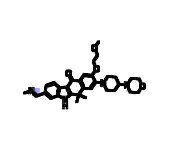 C/N=C/c1ccc2c3c([nH]c2c1)C(C)(C)c1cc(N2CCC(N4CCOCC4)CC2)c(OCCOC)cc1C3=O